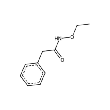 CCONC(=O)Cc1ccccc1